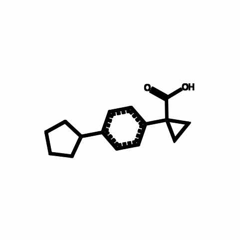 O=C(O)C1(c2ccc(C3CCCC3)cc2)CC1